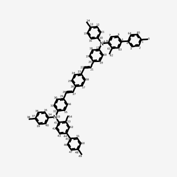 Cc1ccc(-c2ccc(N(c3ccc(C)cc3)c3ccc(C=Cc4ccc(C=Cc5ccc(N(c6ccc(C)cc6)c6ccc(-c7ccc(C)cc7)cc6C)cc5)cc4)cc3)c(C)c2)cc1